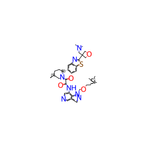 C[C@H]1CC[C@H](c2ccc3sc(C4(CN(C)C)COC4)nc3c2)N(C(=O)C(=O)Nc2cncc3cnn(COCC[Si](C)(C)C)c23)C1